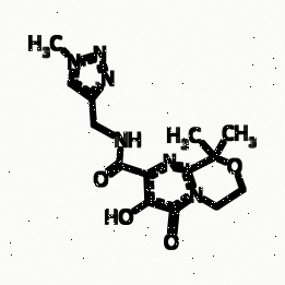 Cn1cc(CNC(=O)c2nc3n(c(=O)c2O)CCOC3(C)C)nn1